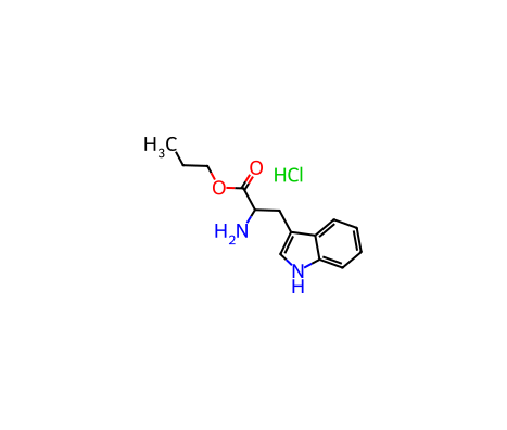 CCCOC(=O)C(N)Cc1c[nH]c2ccccc12.Cl